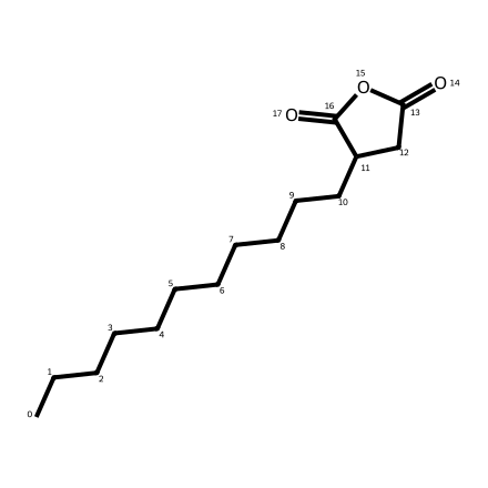 CCCCCCCCCCCC1CC(=O)OC1=O